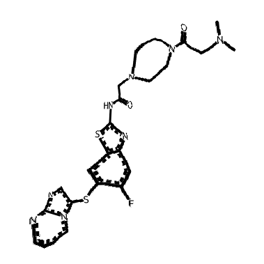 CN(C)CC(=O)N1CCN(CC(=O)Nc2nc3cc(F)c(Sc4cnc5ncccn45)cc3s2)CC1